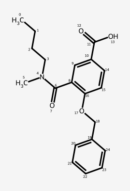 CCCCN(C)C(=O)c1cc(C(=O)O)ccc1OCc1ccccc1